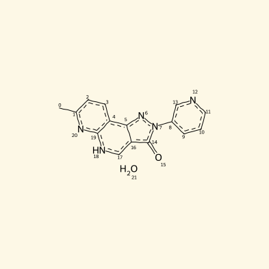 Cc1ccc2c3nn(-c4cccnc4)c(=O)c-3c[nH]c2n1.O